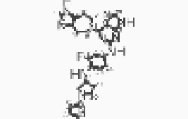 Fc1cc(Nc2nc(N3CCc4nc[nH]c4CC3)c3nc[nH]c3n2)ccc1NC1CCN(c2nccs2)C1